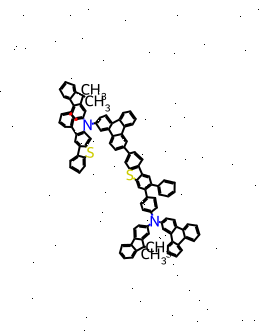 CC1(C)c2ccccc2-c2ccc(N(c3ccc(-c4cc5sc6cc(-c7ccc8c(c7)c7ccccc7c7ccc(N(c9ccc%10c(c9)C(C)(C)c9ccccc9-%10)c9cc%10sc%11ccccc%11c%10cc9-c9ccccc9)cc78)ccc6c5cc4-c4ccccc4)cc3)c3ccc4c5ccccc5c5ccccc5c4c3)cc21